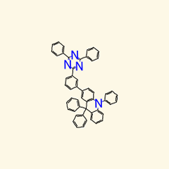 c1ccc(-c2nc(-c3ccccc3)nc(-c3cccc(-c4ccc5c(c4)C(c4ccccc4)(c4ccccc4)c4ccccc4N5c4ccccc4)c3)n2)cc1